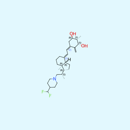 C=C1/C(=C\C=C2/CCC[C@]3(C)[C@@H]([C@H](C)CN4CCC(C(F)F)CC4)CC[C@@H]23)C[C@@H](O)[C@H](C)[C@@H]1O